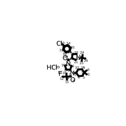 CC1(C)CCC(N(C(=O)C(C)(C)CF)[C@H]2CCN(C(=O)[C@@H]3CN(C(C)(C)C)C[C@H]3c3ccc(Cl)cc3)C2)CC1.Cl